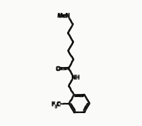 CNCCCCCC(=O)NCc1ccccc1C(F)(F)F